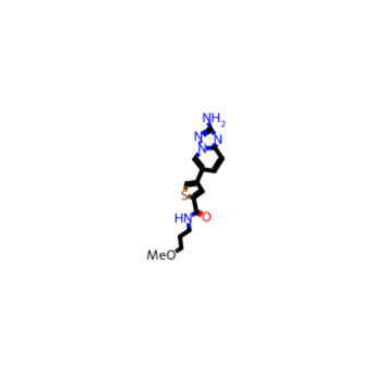 COCCCNC(=O)c1cc(-c2ccc3nc(N)nn3c2)cs1